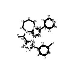 Cc1cccc(-n2nnc(C(C)N3CCCCn4c(-c5ccncc5)nnc43)n2)c1